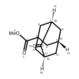 COC(=O)C12C[C@@H]3C[C@H](C1)C(=O)[C@@H](C3)C2